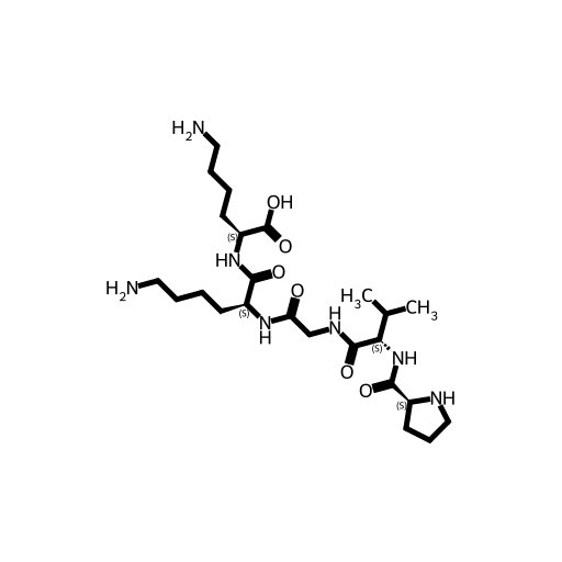 CC(C)[C@H](NC(=O)[C@@H]1CCCN1)C(=O)NCC(=O)N[C@@H](CCCCN)C(=O)N[C@@H](CCCCN)C(=O)O